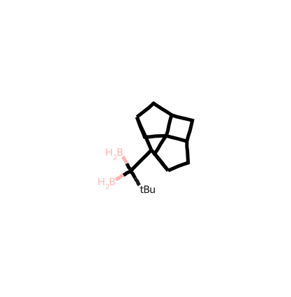 BC(B)(C1C2CC3CC4CC1CC34C2)C(C)(C)C